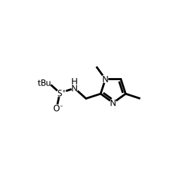 Cc1cn(C)c(CN[S+]([O-])C(C)(C)C)n1